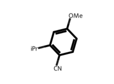 COc1ccc(C#N)c(C(C)C)c1